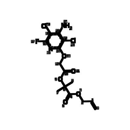 C=CCOC(=O)C(C)(C)OC(=O)COc1nc(F)c(Cl)c(N)c1Cl